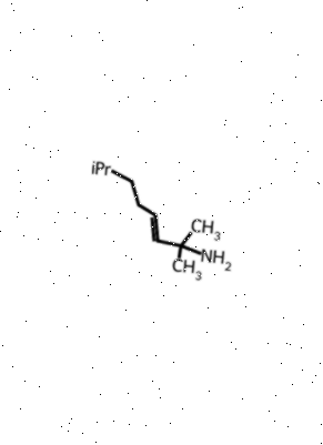 CC(C)CC/C=C/C(C)(C)N